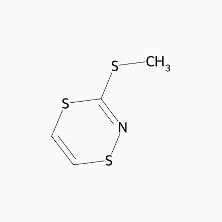 CSC1=NSC=CS1